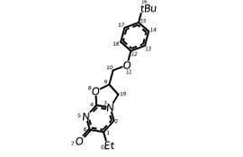 CCc1cn2c(nc1=O)OC(COc1ccc(C(C)(C)C)cc1)C2